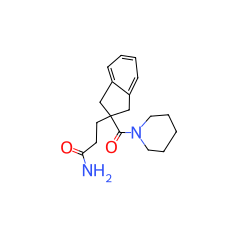 NC(=O)CCC1(C(=O)N2CCCCC2)Cc2ccccc2C1